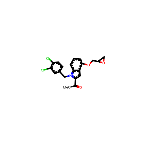 COC(=O)c1cc2c(OCC3CO3)cccc2n1Cc1ccc(Cl)c(Cl)c1